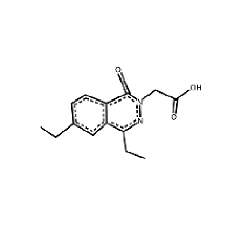 CCc1ccc2c(=O)n(CC(=O)O)nc(CC)c2c1